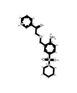 O=C(COCc1cc(S(=O)(=O)N2CCCCC2)ccc1[SiH3])c1cccnc1